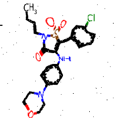 CCCCN1C(=O)C(Nc2ccc(N3CCOCC3)cc2)=C(c2cccc(Cl)c2)S1(=O)=O